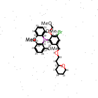 COCOc1c(Br)cc(COCCC2CCCCO2)cc1P(c1c(OC)cccc1OC)c1c(OC)cccc1OC